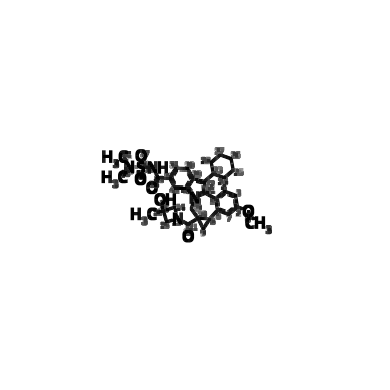 COc1ccc2c(c1)C1CC1(C(=O)N1CC(C)(O)C1)Cn1c-2c(C2CCCCC2)c2ccc(C(=O)NS(=O)(=O)N(C)C)cc21